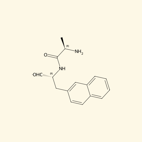 C[C@@H](N)C(=O)N[C@@H]([C]=O)Cc1ccc2ccccc2c1